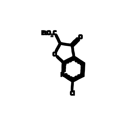 CCOC(=O)C1Oc2nc(Cl)ccc2C1=O